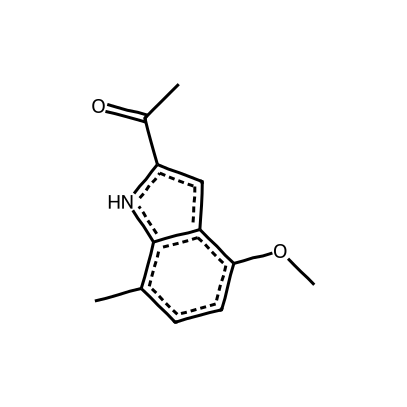 COc1ccc(C)c2[nH]c(C(C)=O)cc12